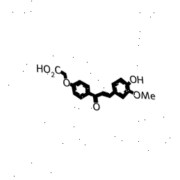 COc1cc(C=CC(=O)c2ccc(OCC(=O)O)cc2)ccc1O